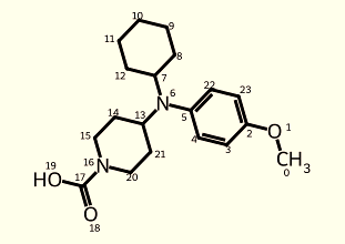 COc1ccc(N(C2CCCCC2)C2CCN(C(=O)O)CC2)cc1